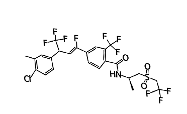 Cc1cc(C(/C=C(\F)c2ccc(C(=O)N[C@H](C)CS(=O)(=O)CC(F)(F)F)c(C(F)(F)F)c2)C(F)(F)F)ccc1Cl